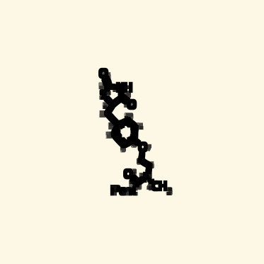 CCCC(C)C(=O)N(C)CCOc1ccc(CC2SC(=O)NC2=O)cc1